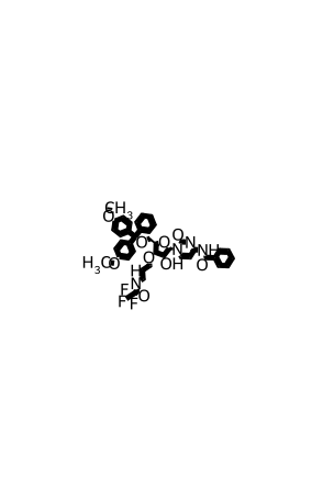 COc1ccc(C(OC[C@H]2O[C@@H](n3ccc(NC(=O)c4ccccc4)nc3=O)[C@H](O)[C@@H]2OCCCNC(=O)C(F)(F)F)(c2ccccc2)c2ccc(OC)cc2)cc1